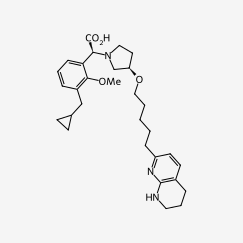 COc1c(CC2CC2)cccc1[C@@H](C(=O)O)N1CC[C@@H](OCCCCCc2ccc3c(n2)NCCC3)C1